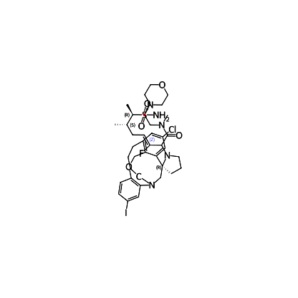 C[C@H]([C@@H](C)C/C=C(\F)C(C(=O)N(C)CCN1CCOCC1)N1CCC[C@@]12CN1CCCCc3cc(Cl)cc2c3COc2ccc(I)cc21)S(N)(=O)=O